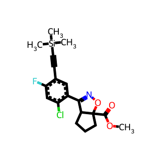 COC(=O)C12CCCC1C(c1cc(C#C[Si](C)(C)C)c(F)cc1Cl)=NO2